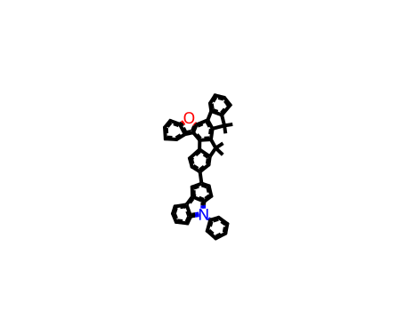 CC1(C)c2ccccc2-c2c1c1c(c3c2oc2ccccc23)-c2ccc(-c3ccc4c(c3)c3ccccc3n4-c3ccccc3)cc2C1(C)C